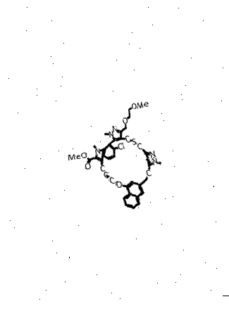 COCCOCc1nn(C)c2c1CSCc1cc(n(C)n1)CCc1cc(c3ccccc3c1)OCCCc1c(C(=O)OC)n(C)c3c-2c(Cl)ccc13